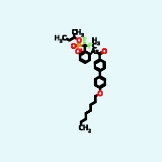 CCCCCCCCOc1ccc(-c2ccc(C(=O)[As](C)c3ccccc3C(F)(F)P(=O)(O)OC(C)CC)cc2)cc1